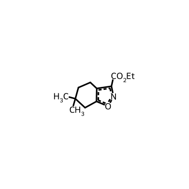 CCOC(=O)c1noc2c1CCC(C)(C)C2